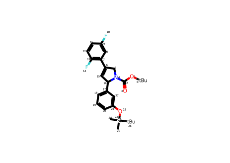 CC(C)(C)OC(=O)N1CC(c2cc(F)ccc2F)=CC1c1cccc(O[Si](C)(C)C(C)(C)C)c1